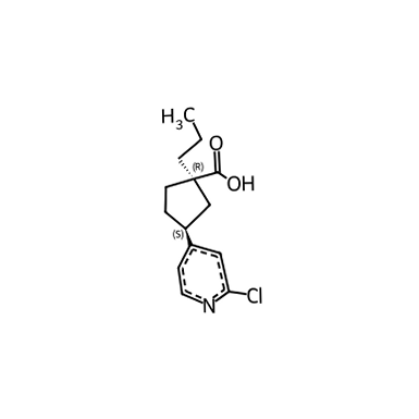 CCC[C@@]1(C(=O)O)CC[C@H](c2ccnc(Cl)c2)C1